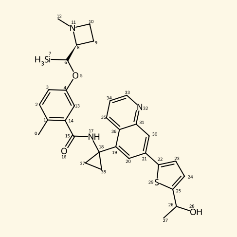 Cc1ccc(OC([SiH3])[C@@H]2CCN2C)cc1C(=O)NC1(c2cc(-c3ccc(C(C)O)s3)cc3ncccc23)CC1